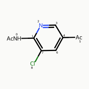 CC(=O)Nc1ncc(C(C)=O)cc1Cl